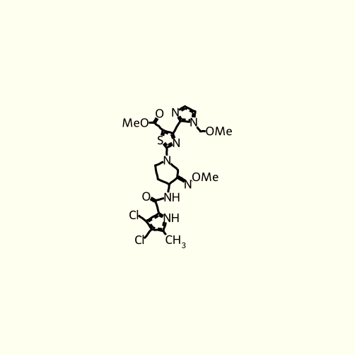 COCn1ccnc1-c1nc(N2CCC(NC(=O)c3[nH]c(C)c(Cl)c3Cl)C(=NOC)C2)sc1C(=O)OC